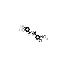 O=C(N/N=C/c1ccc(Cl)c([N+](=O)[O-])c1)c1ccc(O)c(O)c1